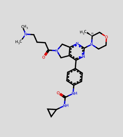 C[C@H]1COCCN1c1nc2c(c(-c3ccc(NC(=O)NC4CC4)cc3)n1)CN(C(=O)CCCN(C)C)C2